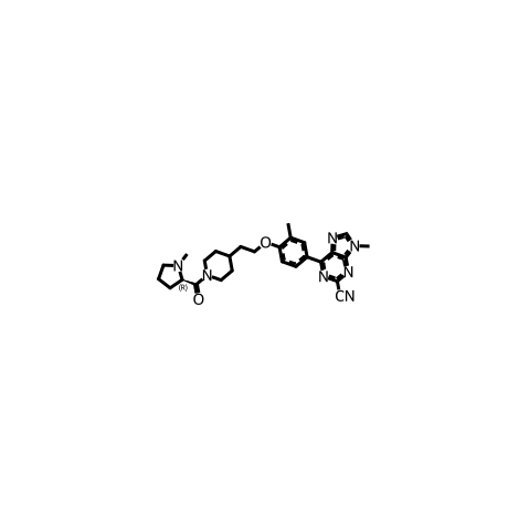 Cc1cc(-c2nc(C#N)nc3c2ncn3C)ccc1OCCC1CCN(C(=O)[C@H]2CCCN2C)CC1